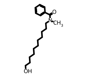 CN(CCCCCCCCCCCO)C(=O)c1ccccc1